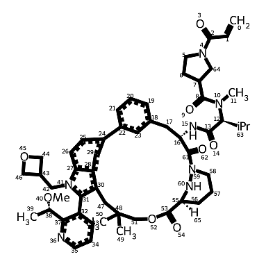 C=CC(=O)N1CCC(C(=O)N(C)[C@H](C(=O)N[C@H]2Cc3cccc(c3)-c3ccc4c(c3)c(c(-c3cccnc3[C@H](C)OC)n4CC3COC3)CC(C)(C)COC(=O)[C@@H]3CCCN(N3)C2=O)C(C)C)C1